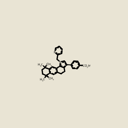 CC1(C)CCC(C)(C)c2cc3c(cc21)CCc1c(-c2ccc(C(=O)O)cc2)cn(Cc2ccccn2)c1-3